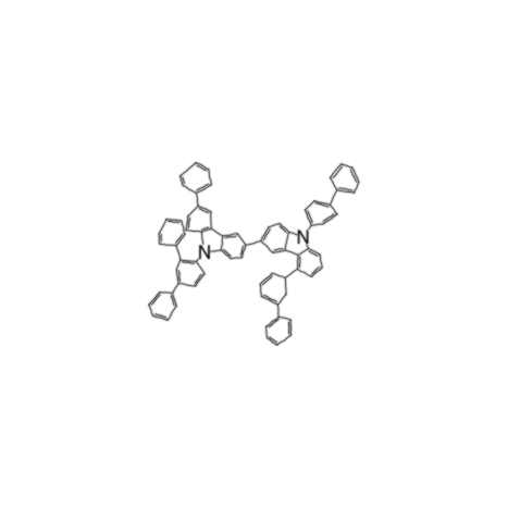 C1=CC(c2cccc3c2c2cc(-c4ccc5c(c4)c4cc(-c6ccccc6)ccc4n5-c4ccc(-c5ccccc5)cc4-c4ccccc4)ccc2n3-c2ccc(-c3ccccc3)cc2)CC(c2ccccc2)=C1